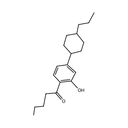 CCCCC(=O)c1ccc(C2CCC(CCC)CC2)cc1O